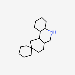 C1CCC2(CC1)CCC1CNC3CCCCC3C1C2